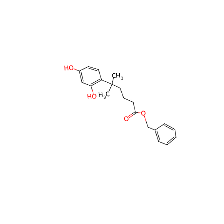 CC(C)(CCCC(=O)OCc1ccccc1)c1ccc(O)cc1O